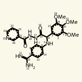 COc1cc(C(Nc2ccc(C(=N)N)cc2)C(=O)NNC(=O)c2cccnc2)cc(OC)c1OC